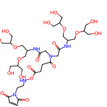 O=C(CN(CC(=O)NC(COC(CO)CO)COC(CO)CO)C(=O)CCC(=O)ONCCN1C(=O)C=CC1=O)NC(COC(CO)CO)COC(CO)CO